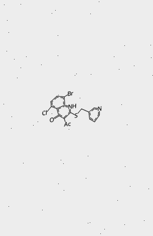 CC(=O)c1c(SCc2cccnc2)[nH]c2c(Br)ccc(Cl)c2c1=O